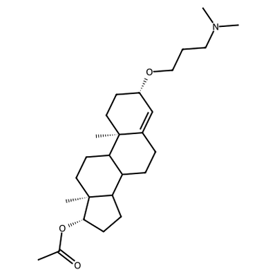 CC(=O)O[C@H]1CCC2C3CCC4=C[C@@H](OCCCN(C)C)CC[C@]4(C)C3CC[C@@]21C